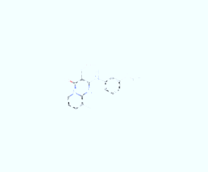 Cc1cccn2c(=O)c(CO)c(Nc3cccc(OC(F)(F)F)c3)nc12